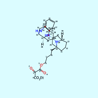 CCOC(=O)C(=O)C(=O)OCCCC[C@@]12CCC[C@@H](C[C@@H](Nc3ccccc3N)C1)N2[C@H]1C[C@@H]2CCC[C@@H](C2)C1